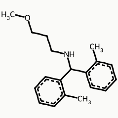 COCCCNC(c1ccccc1C)c1ccccc1C